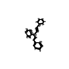 C(=CN(C=Cc1ccccc1)c1ncncn1)c1ccccc1